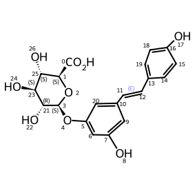 O=C(O)[C@H]1O[C@@H](Oc2cc(O)cc(/C=C/c3ccc(O)cc3)c2)[C@H](O)[C@@H](O)[C@@H]1O